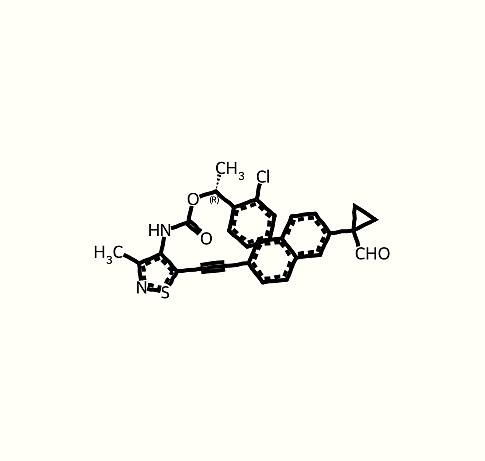 Cc1nsc(C#Cc2ccc3cc(C4(C=O)CC4)ccc3c2)c1NC(=O)O[C@H](C)c1ccccc1Cl